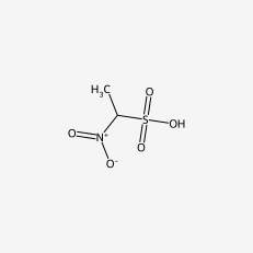 CC([N+](=O)[O-])S(=O)(=O)O